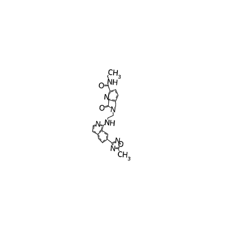 CCNC(=O)c1ccc2c(n1)C(=O)N(CCNc1nccc3ccc(-c4noc(C)n4)cc13)C2